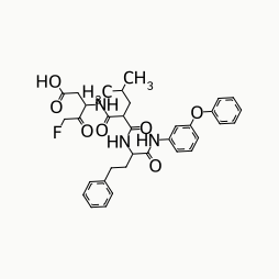 CC(C)CC(C(=O)NC(CC(=O)O)C(=O)CF)C(=O)NC(CCc1ccccc1)C(=O)Nc1cccc(Oc2ccccc2)c1